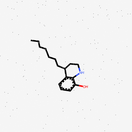 CCCCCCCC1CCNc2c(O)cccc21